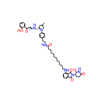 C[C@@H]1C[C@@H](CN/C=C/C(=O)c2ccccc2O)N(c2ccc(CCNC(=O)CCCCCCCCCCCNc3cccc4c3C(=O)N(C3CCC(=O)NC3=O)C4=O)cc2)C1